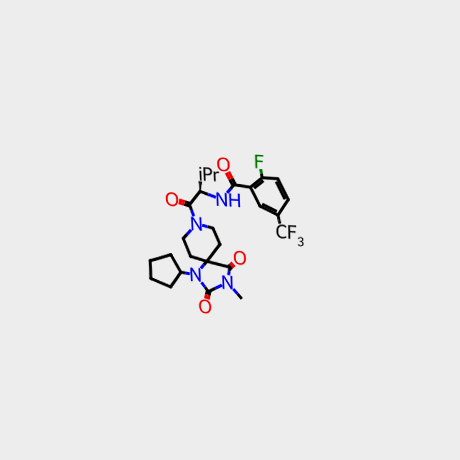 CC(C)[C@@H](NC(=O)c1cc(C(F)(F)F)ccc1F)C(=O)N1CCC2(CC1)C(=O)N(C)C(=O)N2C1CCCC1